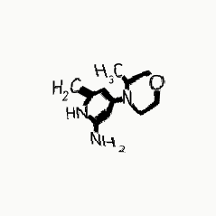 C=C1C=C(N2CCOCC2C)C=C(N)N1